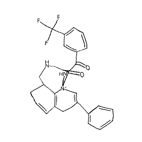 O=C(N[N+]12C=C(c3ccccc3)CC3=C1C(CC=C3)CNCC2=O)c1cccc(C(F)(F)F)c1